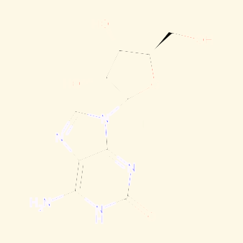 Nc1[nH]c(=O)nc2c1ncn2[C@]1(F)O[C@H](CO)[C@@H](O)[C@H]1O